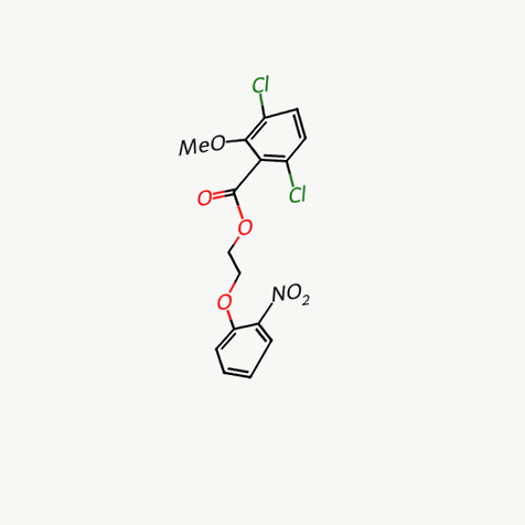 COc1c(Cl)ccc(Cl)c1C(=O)OCCOc1ccccc1[N+](=O)[O-]